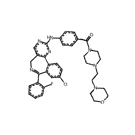 O=C(c1ccc(Nc2ncc3c(n2)-c2ccc(Cl)cc2C(c2ccccc2F)=NC3)cc1)N1CCN(CCN2CCOCC2)CC1